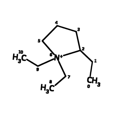 CCC1CCC[N+]1(CC)CC